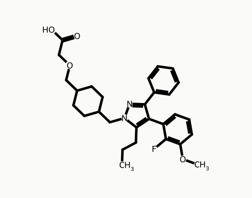 CCCc1c(-c2cccc(OC)c2F)c(-c2ccccc2)nn1CC1CCC(COCC(=O)O)CC1